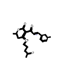 CC(=O)CCCOc1cc(C)oc(=O)c1C(=O)/C=C/c1cccc(C)c1